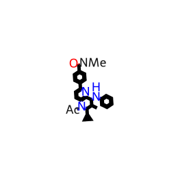 CNC(=O)c1ccc(-c2ccc3c(n2)C(Nc2ccccc2)C(C)C(C2CC2)N3C(C)=O)cc1